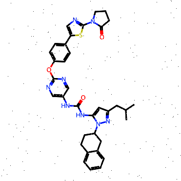 CC(C)Cc1cc(NC(=O)Nc2cnc(Oc3ccc(-c4cnc(N5CCCC5=O)s4)cc3)nc2)n(C2CCc3ccccc3C2)n1